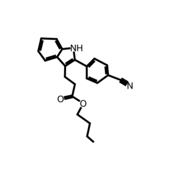 CCCCOC(=O)CCc1c(-c2ccc(C#N)cc2)[nH]c2ccccc12